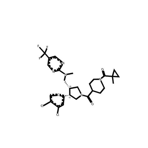 CN(C[C@@H]1CN(C(=O)C2CCN(C(=O)C3(C)CC3)CC2)C[C@@H]1c1ccc(Cl)c(Cl)c1)c1ncc(C(F)(F)F)cn1